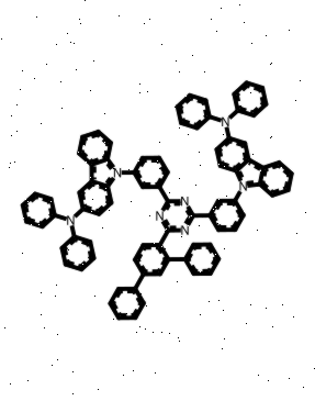 c1ccc(-c2ccc(-c3nc(-c4cccc(-n5c6ccccc6c6cc(N(c7ccccc7)c7ccccc7)ccc65)c4)nc(-c4cccc(-n5c6ccccc6c6cc(N(c7ccccc7)c7ccccc7)ccc65)c4)n3)c(-c3ccccc3)c2)cc1